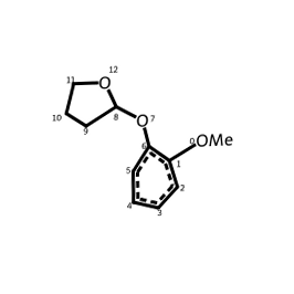 COc1ccccc1OC1CCCO1